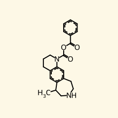 CC1CNCCc2cc3c(cc21)CCCN3C(=O)OC(=O)c1ccccc1